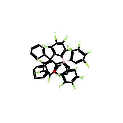 Fc1cc([B-](c2cc(F)c(F)c(F)c2F)(c2cc(F)c(F)c(F)c2F)c2c(F)c(F)c(F)c(F)c2C(c2ccccc2)(c2ccccc2)c2ccccc2)c(F)c(F)c1F